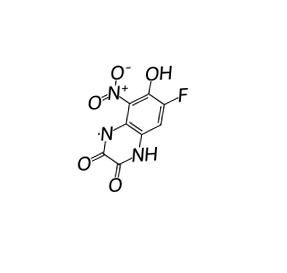 O=C1[N]c2c(cc(F)c(O)c2[N+](=O)[O-])NC1=O